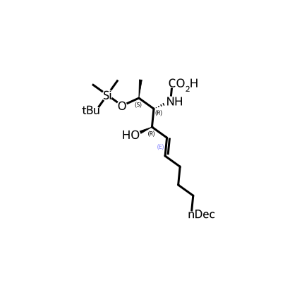 CCCCCCCCCCCCC/C=C/[C@@H](O)[C@@H](NC(=O)O)[C@H](C)O[Si](C)(C)C(C)(C)C